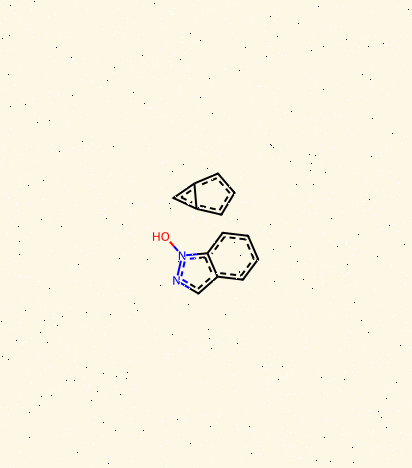 On1ncc2ccccc21.c1cc2cc-2c1